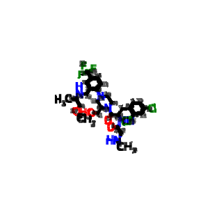 CNCC(=O)N[C@H](Cc1ccc(Cl)cc1Cl)C(=O)N1CCN(c2ccc(C(F)(F)F)cc2CNC(C)COC)C[C@@H]1CO